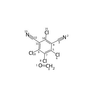 C=O.N#Cc1c(Cl)c(Cl)c(Cl)c(C#N)c1Cl